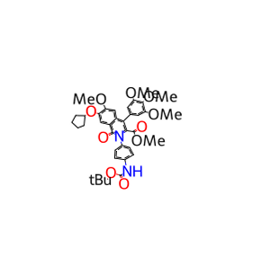 COC(=O)c1c(-c2cc(OC)c(OC)c(OC)c2)c2cc(OC)c(OC3CCCC3)cc2c(=O)n1-c1ccc(NC(=O)OC(C)(C)C)cc1